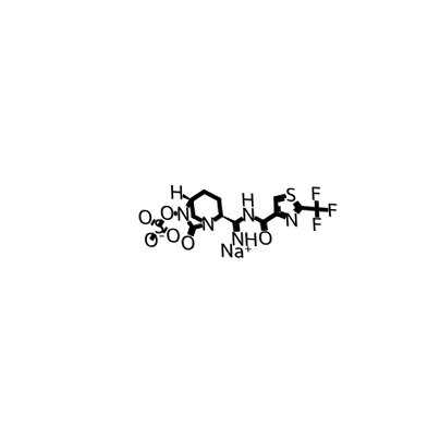 N=C(NC(=O)c1csc(C(F)(F)F)n1)[C@@H]1CC[C@@H]2CN1C(=O)N2OS(=O)(=O)[O-].[Na+]